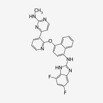 CNc1nccc(-c2cccnc2Oc2ccc(Nc3nc4cc(F)cc(F)c4[nH]3)c3ccccc23)n1